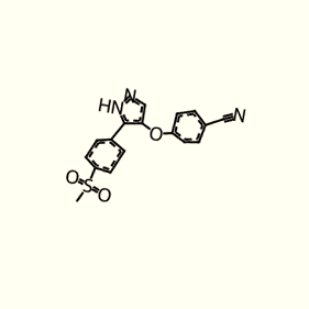 CS(=O)(=O)c1ccc(-c2[nH]ncc2Oc2ccc(C#N)cc2)cc1